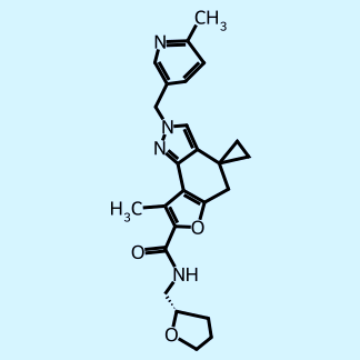 Cc1ccc(Cn2cc3c(n2)-c2c(oc(C(=O)NC[C@@H]4CCCO4)c2C)CC32CC2)cn1